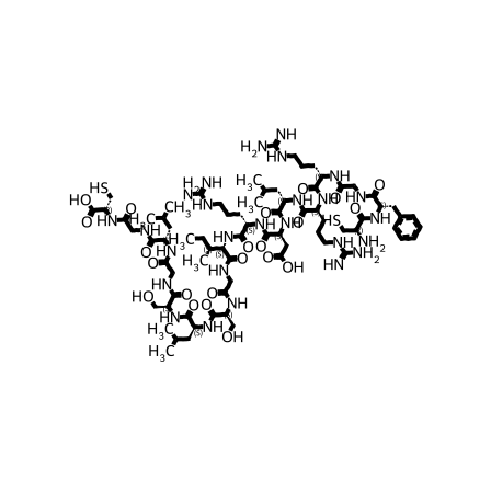 CC[C@H](C)[C@H](NC(=O)[C@H](CCCNC(=N)N)NC(=O)[C@H](CC(=O)O)NC(=O)[C@H](CC(C)C)NC(=O)[C@H](CCCNC(=N)N)NC(=O)[C@H](CCCNC(=N)N)NC(=O)CNC(=O)[C@H](Cc1ccccc1)NC(=O)[C@@H](N)CS)C(=O)NCC(=O)N[C@@H](CO)C(=O)N[C@@H](CC(C)C)C(=O)N[C@@H](CO)C(=O)NCC(=O)N[C@@H](CC(C)C)C(=O)NCC(=O)N[C@@H](CS)C(=O)O